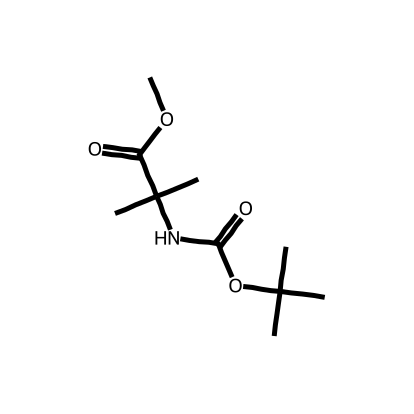 COC(=O)C(C)(C)NC(=O)OC(C)(C)C